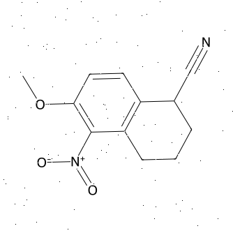 COc1ccc2c(c1[N+](=O)[O-])CCCC2C#N